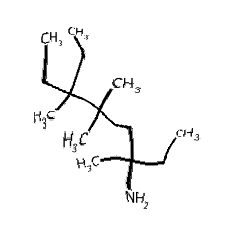 CCC(C)(N)CC(C)(C)C(C)(CC)CC